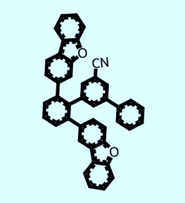 N#Cc1cc(-c2ccccc2)cc(-c2c(-c3ccc4c(c3)oc3ccccc34)cccc2-c2ccc3oc4ccccc4c3c2)c1